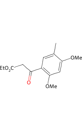 CCOC(=O)CC(=O)c1cc(C)c(OC)cc1OC